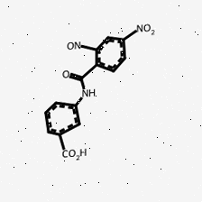 O=Nc1cc([N+](=O)[O-])ccc1C(=O)Nc1cccc(C(=O)O)c1